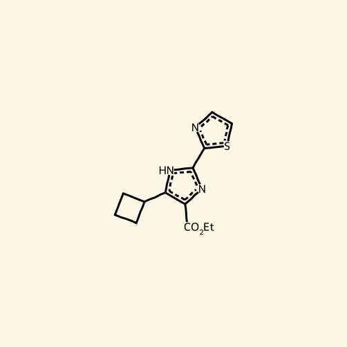 CCOC(=O)c1nc(-c2nccs2)[nH]c1C1CCC1